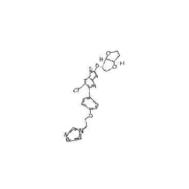 Clc1cc2[nH]c(OC3CO[C@@H]4CCO[C@H]34)nc2nc1-c1ccc(OCCn2ccnc2)cc1